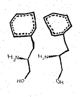 N[C@H](CO)Cc1ccccc1.N[C@H](CO)Cc1ccccc1